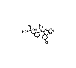 C#CC(O)(Cc1cccc(N(C)c2nc3nncn3c3cc(Cl)ccc23)c1)C1CC1